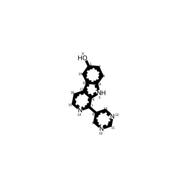 Oc1ccc2[nH]c3c(-c4cncnc4)nccc3c2c1